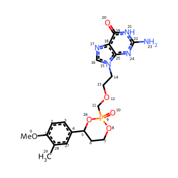 COc1ccc(C2CCOP(=O)(COCCn3cnc4c(=O)[nH]c(N)nc43)O2)cc1C